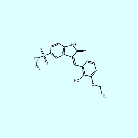 CCOc1cccc(C=C2C(=O)Nc3ccc(S(=O)(=O)NC)cc32)c1O